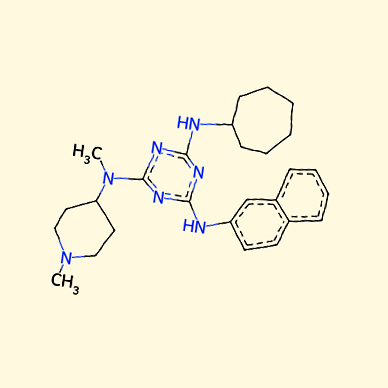 CN1CCC(N(C)c2nc(Nc3ccc4ccccc4c3)nc(NC3CCCCCC3)n2)CC1